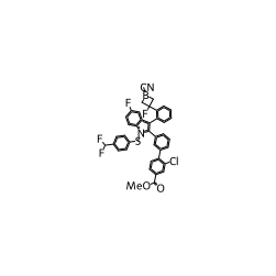 COC(=O)c1ccc(-c2cccc(-c3c(-c4ccccc4C4(F)CB(C#N)C4)c4cc(F)ccc4n3Sc3ccc(C(F)F)cc3)c2)c(Cl)c1